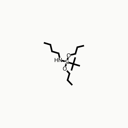 CCCCN[Si](OCCC)(OCCC)C(C)(C)C